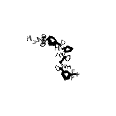 NS(=O)(=O)c1ccc(C(=O)NC2CCCC2NC(=O)CNC(=O)c2cccc(C(F)(F)F)c2)cc1